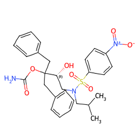 CC(C)CN(C[C@@H](O)C(Cc1ccccc1)(Cc1ccccc1)OC(N)=O)S(=O)(=O)c1ccc([N+](=O)[O-])cc1